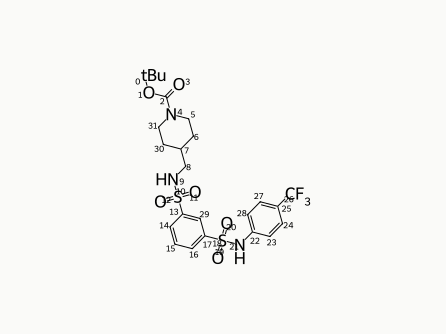 CC(C)(C)OC(=O)N1CCC(CNS(=O)(=O)c2cccc(S(=O)(=O)Nc3ccc(C(F)(F)F)cc3)c2)CC1